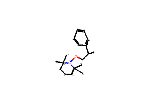 CC(CON1C(C)(C)CCCC1(C)C)c1ccccc1